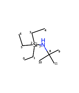 CC[Si](CC)(CC)NC(C)(C)C